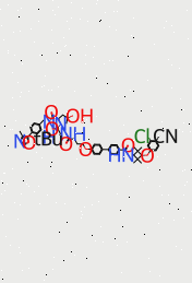 Cc1ncoc1-c1ccc(CNC(=O)[C@@H]2C[C@@H](O)CN2C(=O)[C@@H](NC(=O)CCCOc2ccc(-c3ccc(C(=O)N[C@H]4C(C)(C)[C@H](Oc5ccc(C#N)c(Cl)c5)C4(C)C)cc3)cc2)C(C)(C)C)cc1